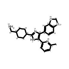 Cc1cccc(-c2[nH]c(C3CCC(CN)CC3)nc2-c2ccc3c(c2)OCO3)n1